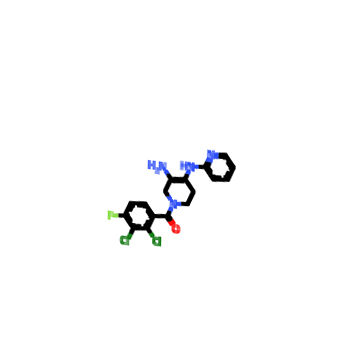 NC1=C(Nc2ccccn2)CCN(C(=O)c2ccc(F)c(Cl)c2Cl)C1